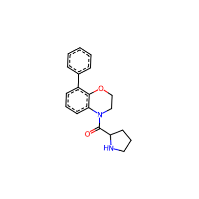 O=C(C1CCCN1)N1CCOc2c(-c3ccccc3)cccc21